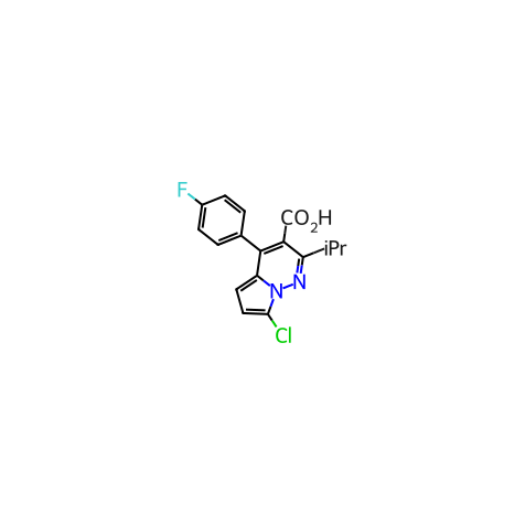 CC(C)c1nn2c(Cl)ccc2c(-c2ccc(F)cc2)c1C(=O)O